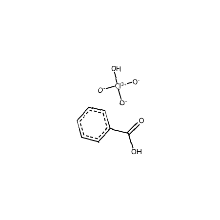 O=C(O)c1ccccc1.[O-][Cl+3]([O-])([O-])O